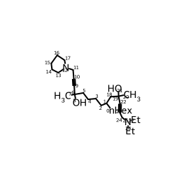 CCCC[CH]CC(CCCCC(C)(O)C#CCN1CCCCC1)CC(C)(O)C#CCN(CC)CC